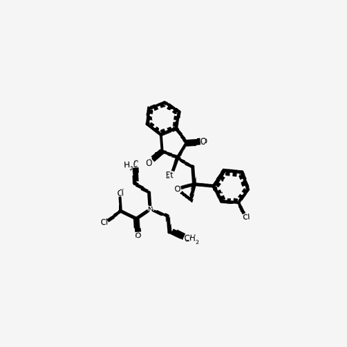 C=CCN(CC=C)C(=O)C(Cl)Cl.CCC1(CC2(c3cccc(Cl)c3)CO2)C(=O)c2ccccc2C1=O